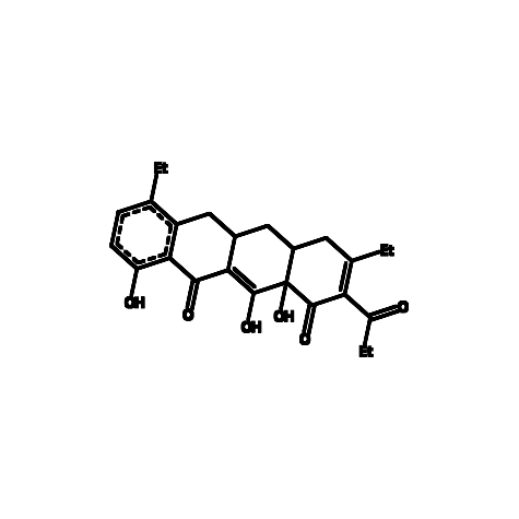 CCC(=O)C1=C(CC)CC2CC3Cc4c(CC)ccc(O)c4C(=O)C3=C(O)C2(O)C1=O